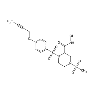 CC#CCOc1ccc(S(=O)(=O)N2CCN(S(C)(=O)=O)CC2C(=O)NO)cc1